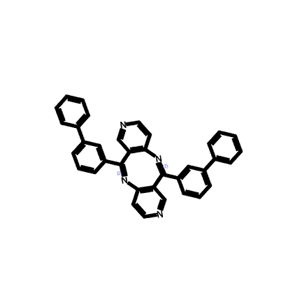 c1ccc(-c2cccc(/C3=N/c4ccncc4/C(c4cccc(-c5ccccc5)c4)=N\c4ccncc43)c2)cc1